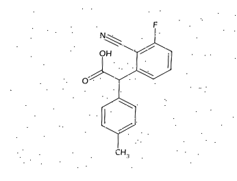 Cc1ccc(C(C(=O)O)c2cccc(F)c2C#N)cc1